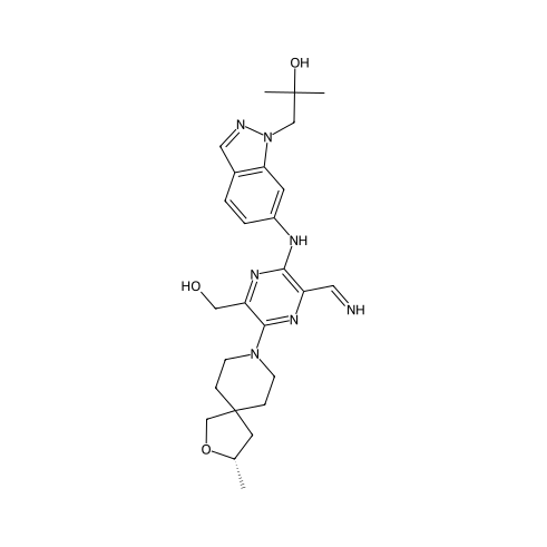 C[C@H]1CC2(CCN(c3nc(C=N)c(Nc4ccc5cnn(CC(C)(C)O)c5c4)nc3CO)CC2)CO1